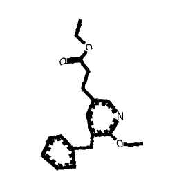 CCOC(=O)CCc1cnc(OC)c(Cc2ccccc2)c1